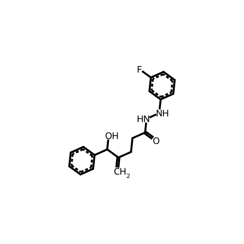 C=C(CCC(=O)NNc1cccc(F)c1)C(O)c1ccccc1